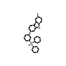 Cc1ccc2sc3cc(-c4cccc(S(C)(c5ccccc5)c5ccccc5)c4)ccc3c2c1